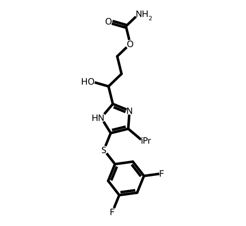 CC(C)c1nc(C(O)CCOC(N)=O)[nH]c1Sc1cc(F)cc(F)c1